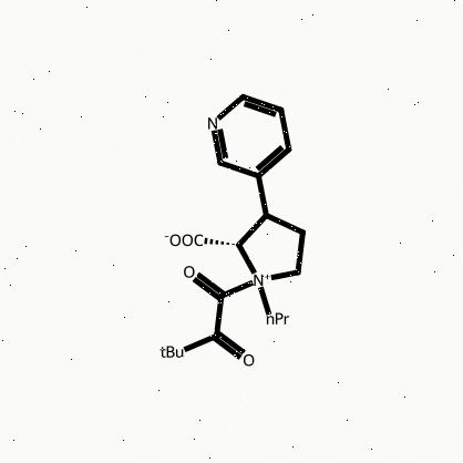 CCC[N+]1(C(=O)C(=O)C(C)(C)C)CCC(c2cccnc2)[C@H]1C(=O)[O-]